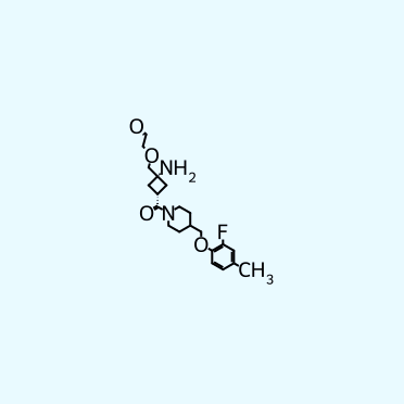 Cc1ccc(OCC2CCN(C(=O)[C@H]3C[C@](N)(COCC=O)C3)CC2)c(F)c1